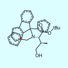 C[C@@H](CO)[C@@H](C(=O)OC(C)(C)C)N(Cc1ccccc1)C1(c2ccccc2)c2ccccc2-c2ccccc21